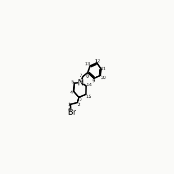 BrCCC1CCN(Cc2ccccc2)CC1